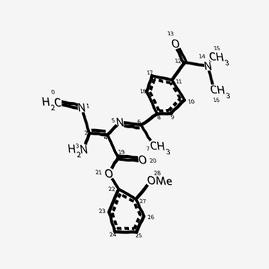 C=N/C(N)=C(\N=C(/C)c1ccc(C(=O)N(C)C)cc1)C(=O)Oc1ccccc1OC